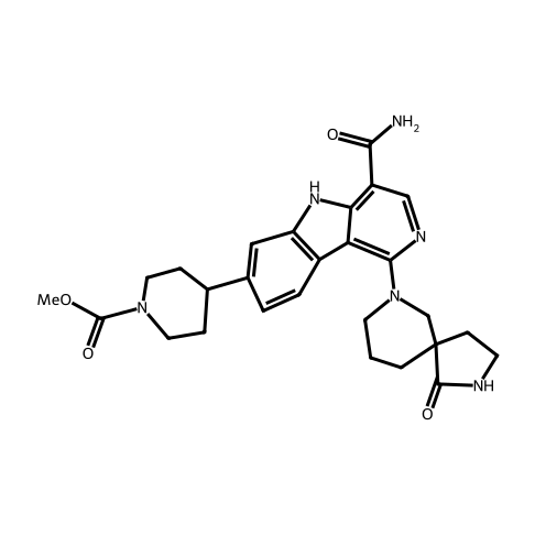 COC(=O)N1CCC(c2ccc3c(c2)[nH]c2c(C(N)=O)cnc(N4CCCC5(CCNC5=O)C4)c23)CC1